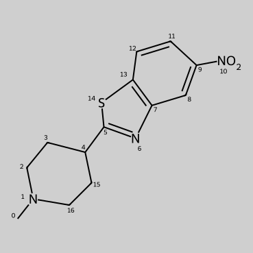 CN1CCC(c2nc3cc([N+](=O)[O-])ccc3s2)CC1